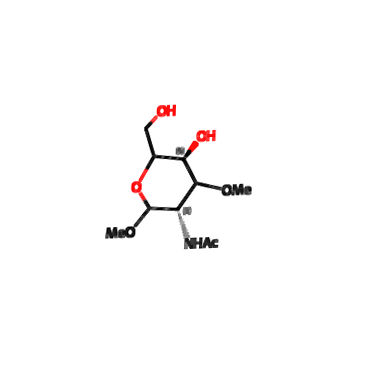 COC1OC(CO)[C@@H](O)C(OC)[C@@H]1NC(C)=O